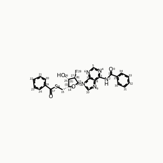 O=C(Nc1ncnc2c1ncn2[C@@H]1O[C@H](CSC(=O)c2ccccc2)[C@H](O)[C@H]1F)c1ccccc1